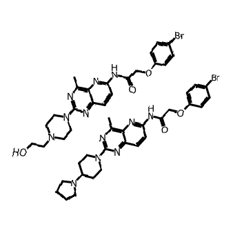 Cc1nc(N2CCC(N3CCCC3)CC2)nc2ccc(NC(=O)COc3ccc(Br)cc3)nc12.Cc1nc(N2CCN(CCO)CC2)nc2ccc(NC(=O)COc3ccc(Br)cc3)nc12